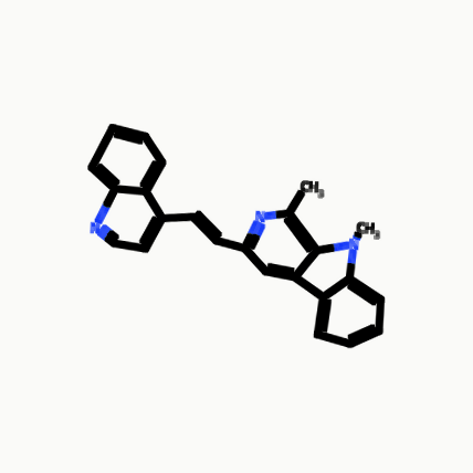 Cc1nc(/C=C/c2ccnc3ccccc23)cc2c3ccccc3n(C)c12